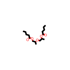 CCCCC(=O)OCC(C)OCC(C)OC(=O)CCCC